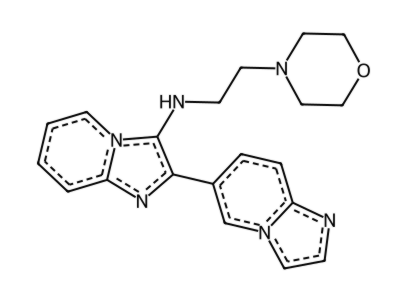 c1ccn2c(NCCN3CCOCC3)c(-c3ccc4nccn4c3)nc2c1